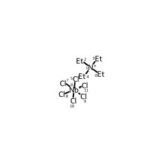 CC[N+](CC)(CC)CC.[Cl][Nb-]([Cl])([Cl])([Cl])([Cl])[Cl]